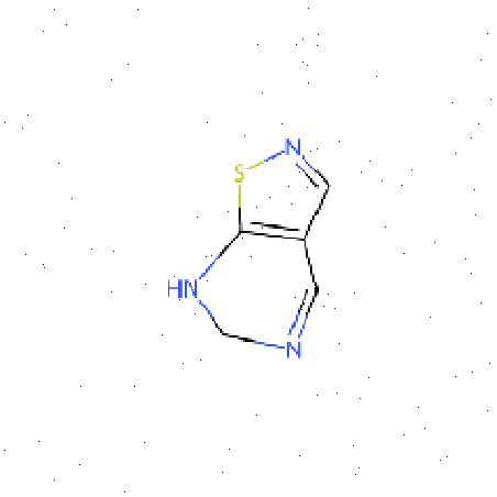 C1=NCNc2sncc21